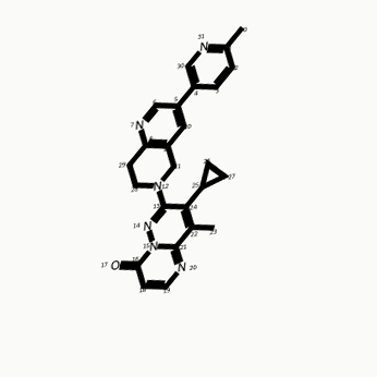 Cc1ccc(-c2cnc3c(c2)CN(c2nn4c(=O)ccnc4c(C)c2C2CC2)CC3)cn1